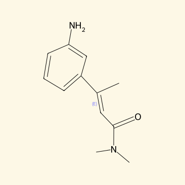 C/C(=C\C(=O)N(C)C)c1cccc(N)c1